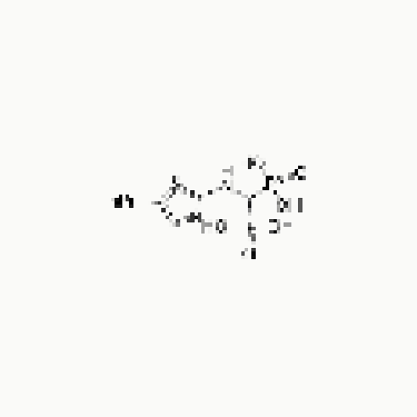 CCCc1cnc(NC(P(=O)(O)O)P(=O)(O)O)s1